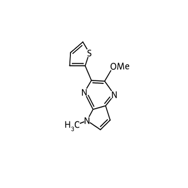 COc1nc2ccn(C)c2nc1-c1cccs1